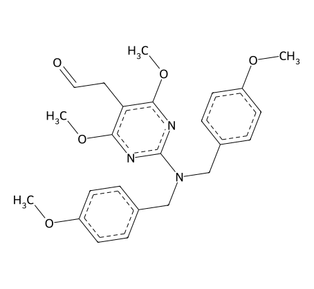 COc1ccc(CN(Cc2ccc(OC)cc2)c2nc(OC)c(CC=O)c(OC)n2)cc1